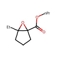 CCCOC(=O)C12CCCC1(CC)O2